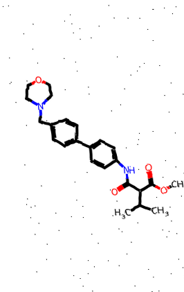 COC(=O)C(C(=O)Nc1ccc(-c2ccc(CN3CCOCC3)cc2)cc1)C(C)C